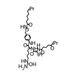 CC(C)CCCCCC(=O)NOCc1ccc(NC(=O)[C@H](CCCCNC(N)O)NC(=O)[C@@H](NC(=O)CCCC(=O)C(C)C)C(C)C)cc1